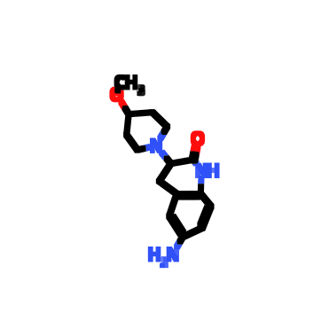 COC1CCN(C2Cc3cc(N)ccc3NC2=O)CC1